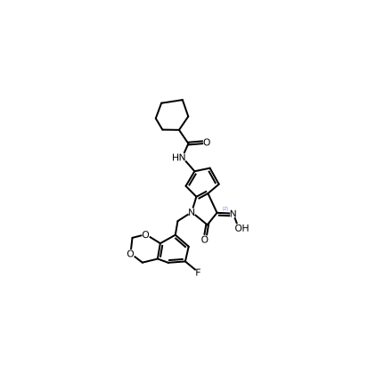 O=C(Nc1ccc2c(c1)N(Cc1cc(F)cc3c1OCOC3)C(=O)/C2=N\O)C1CCCCC1